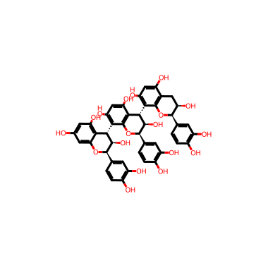 Oc1cc(O)c2c(c1)O[C@H](c1ccc(O)c(O)c1)[C@H](O)[C@H]2c1c(O)cc(O)c2c1O[C@H](c1ccc(O)c(O)c1)[C@H](O)[C@H]2c1c(O)cc(O)c2c1O[C@H](c1ccc(O)c(O)c1)[C@H](O)C2